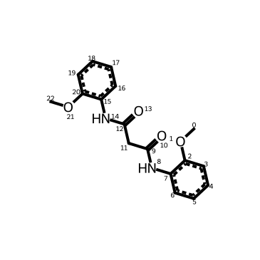 COc1ccccc1NC(=O)CC(=O)Nc1ccccc1OC